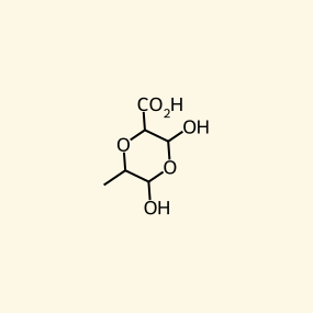 CC1OC(C(=O)O)C(O)OC1O